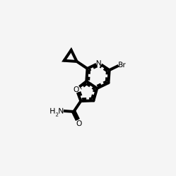 NC(=O)c1cc2cc(Br)nc(C3CC3)c2o1